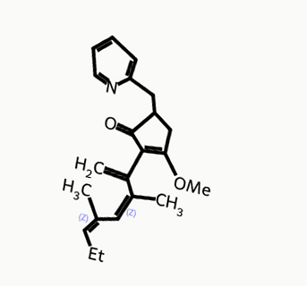 C=C(C1=C(OC)CC(Cc2ccccn2)C1=O)/C(C)=C\C(C)=C/CC